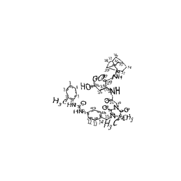 Cc1ccccc1NC(=O)Nc1ccc(CN2C(=O)N(CC(=O)N[C@@H](CC(=O)O)C(=O)NC3C4CC5CC6CC3C6(C5)C4)C(=O)C2(C)C)cc1